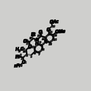 CCCO[C@@H](CC)[C@@H](Cc1ccccc1)[C@H](C)OC(=O)[C@H](CC)NC(=O)c1nccc(OC)c1OCOC(C)=O